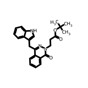 CC(C)(C)OC(=O)CCn1nc(Cc2c[nH]c3ccccc23)c2ccccc2c1=O